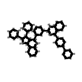 c1ccc(-c2ccc(-c3nc(-c4cccc(-c5nc6ccccc6c6sc(-c7ccccn7)c(-c7ccccn7)c56)c4)nc4ccccc34)cc2)cc1